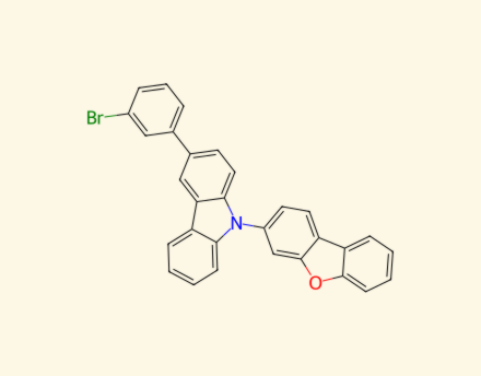 Brc1cccc(-c2ccc3c(c2)c2ccccc2n3-c2ccc3c(c2)oc2ccccc23)c1